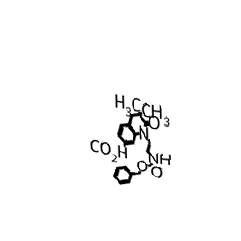 CC1(C)Cc2ccc(C(=O)O)cc2N(CCNC(=O)OCc2ccccc2)C1=O